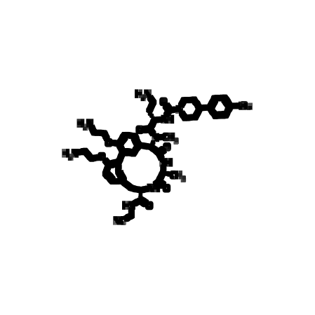 C[C@@H]1NC(=O)[C@@H](N(C)C(=O)[C@H](CCN)NC(=O)N2CCC(c3ccc(C(C)(C)C)cc3)CC2)c2ccc(OCCN)c(c2)-c2cc(ccc2OCCN)C[C@@H](C(=O)NCC#N)NC1=O